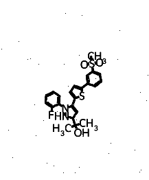 CC(C)(O)C1C=C(c2ccc(-c3cccc(S(C)(=O)=O)c3)s2)N(c2ccccc2F)N1